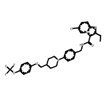 CCc1nc2ccc(Cl)cn2c1C(=O)NCc1ccc(N2CCC(COc3ccc(OC(F)(F)F)cc3)CC2)cc1